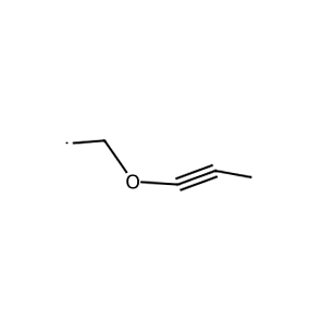 [CH2]COC#CC